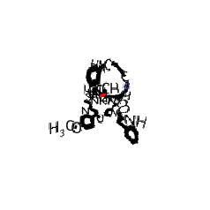 COc1ccc2c(O[C@@H]3C[C@@H](C(=O)N[C@]45C[C@H]4/C=C\CCCCCNc4ccccc4S(=O)(=O)NC5=O)N(C(=O)C4Cc5ccccc5N4)C3)cc(-c3csc(NC(C)C)n3)nc2c1